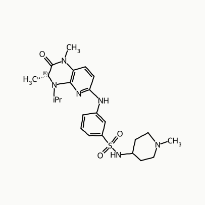 CC(C)N1c2nc(Nc3cccc(S(=O)(=O)NC4CCN(C)CC4)c3)ccc2N(C)C(=O)[C@H]1C